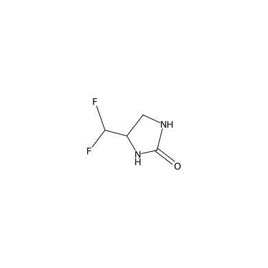 O=C1NCC(C(F)F)N1